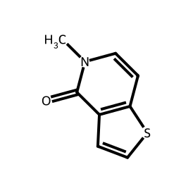 Cn1ccc2sccc2c1=O